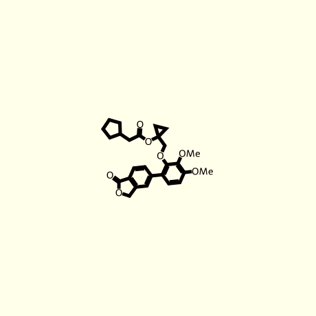 COc1ccc(-c2ccc3c(c2)COC3=O)c(OCC2(OC(=O)CC3CCCC3)CC2)c1OC